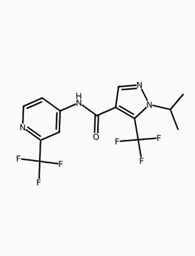 CC(C)n1ncc(C(=O)Nc2ccnc(C(F)(F)F)c2)c1C(F)(F)F